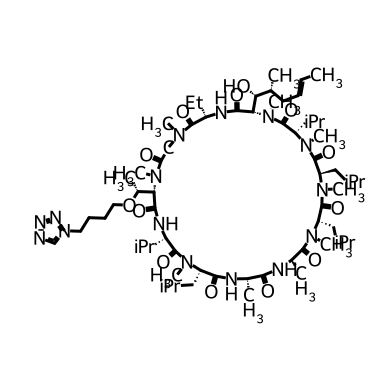 C/C=C/C[C@@H](C)[C@@H](O)[C@H]1C(=O)N[C@@H](CC)C(=O)N(C)CC(=O)N(C)[C@@H]([C@@H](C)OCCCCn2cnnn2)C(=O)N[C@@H](C(C)C)C(=O)N(C)[C@@H](CC(C)C)C(=O)N[C@@H](C)C(=O)N[C@H](C)C(=O)N(C)[C@@H](CC(C)C)C(=O)N(C)[C@H](CC(C)C)C(=O)N(C)[C@@H](C(C)C)C(=O)N1C